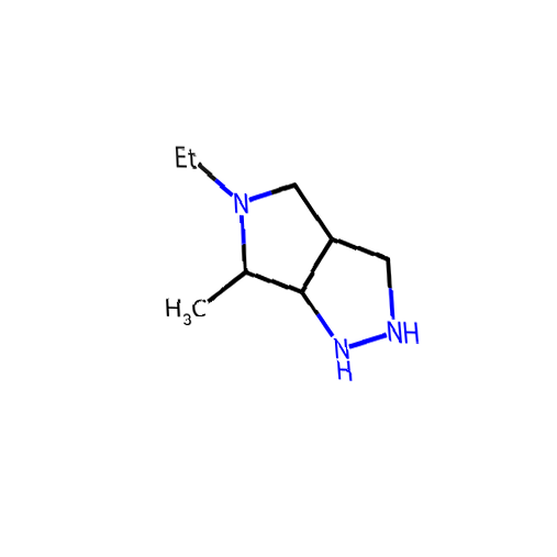 CCN1CC2CNNC2C1C